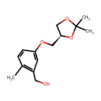 Cc1ccc(OC[C@H]2COC(C)(C)O2)cc1CO